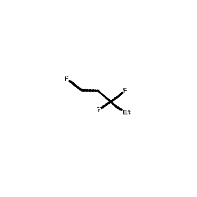 CCC(F)(F)CCF